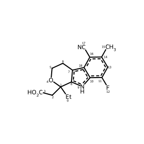 CCC1(CC(=O)O)OCCc2c1[nH]c1c(F)cc(C)c(C#N)c21